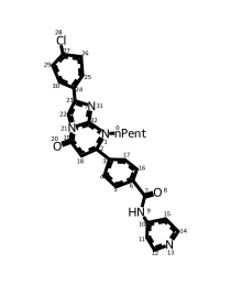 CCCCCn1c(-c2ccc(C(=O)Nc3ccncc3)cc2)cc(=O)n2cc(-c3ccc(Cl)cc3)nc12